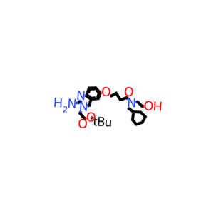 CC(C)(C)OC(=O)CN1Cc2cc(OCCCC(=O)N(CCO)CC3CCCCC3)ccc2N=C1N